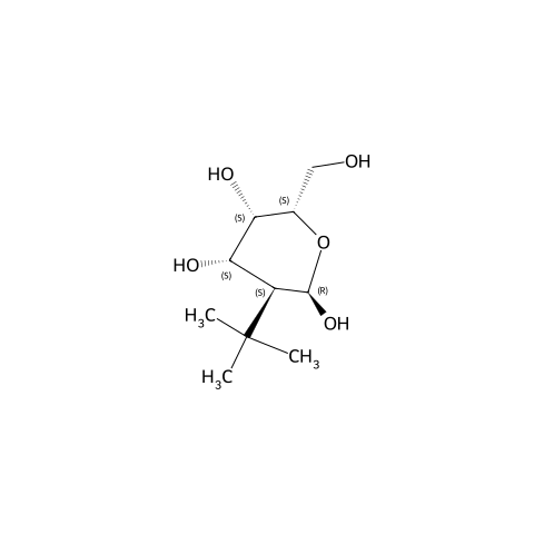 CC(C)(C)[C@H]1[C@H](O)[C@H](O)[C@H](CO)O[C@H]1O